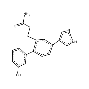 NC(=O)CCc1cc(-c2cn[nH]c2)ccc1-c1cccc(O)c1